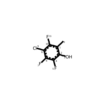 Cc1c(O)c(F)c(F)c(Cl)c1F